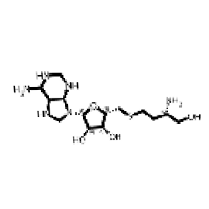 NC1NCNC2C1NCN2[C@@H]1O[C@H](CSCC[C@H](N)CO)[C@@H](O)[C@H]1O